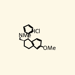 CNC[C@@H]1CCc2cc(OC)ccc2[C@@H]1c1ccccc1.Cl